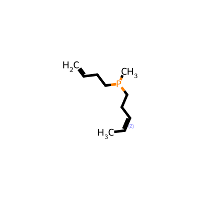 C=CCCP(C)CC/C=C\C